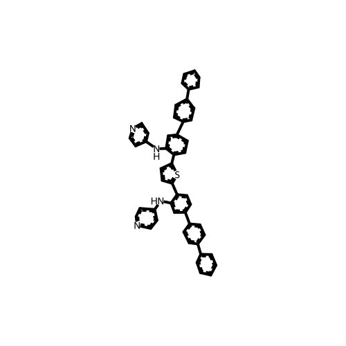 c1ccc(-c2ccc(-c3ccc(-c4ccc(-c5ccc(-c6ccc(-c7ccccc7)cc6)cc5Nc5ccncc5)s4)c(Nc4ccncc4)c3)cc2)cc1